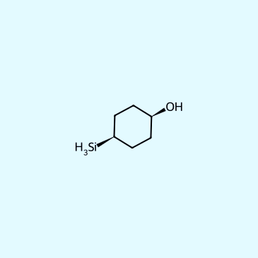 O[C@H]1CC[C@@H]([SiH3])CC1